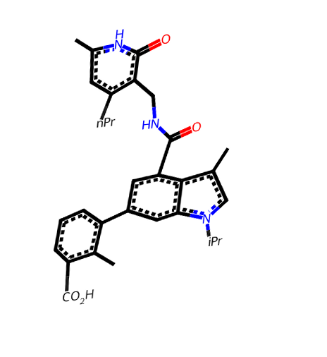 CCCc1cc(C)[nH]c(=O)c1CNC(=O)c1cc(-c2cccc(C(=O)O)c2C)cc2c1c(C)cn2C(C)C